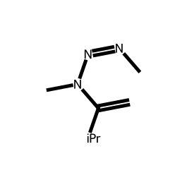 C=C(C(C)C)N(C)/N=N\C